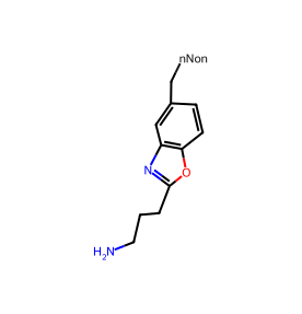 CCCCCCCCCCc1ccc2oc(CCCN)nc2c1